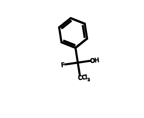 OC(F)(c1ccccc1)C(Cl)(Cl)Cl